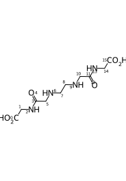 O=C(O)CNC(=O)CNCCNCC(=O)NCC(=O)O